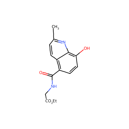 CCOC(=O)CNC(=O)c1ccc(O)c2nc(C)ccc12